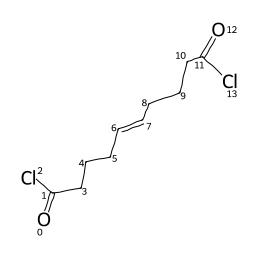 O=C(Cl)CCCC=CCCCC(=O)Cl